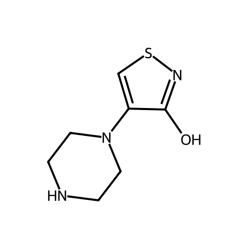 Oc1nscc1N1CCNCC1